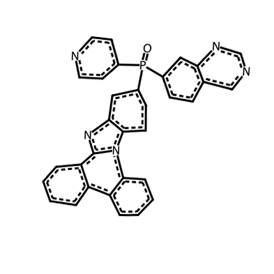 O=P(c1ccncc1)(c1ccc2cncnc2c1)c1ccc2c(c1)nc1c3ccccc3c3ccccc3n21